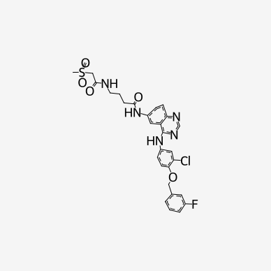 CS(=O)(=O)CC(=O)NCCCC(=O)Nc1ccc2ncnc(Nc3ccc(OCc4cccc(F)c4)c(Cl)c3)c2c1